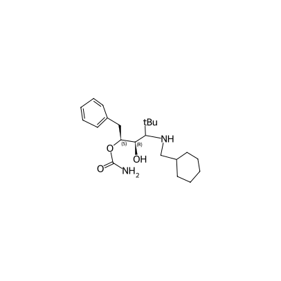 CC(C)(C)C(NCC1CCCCC1)[C@@H](O)[C@H](Cc1ccccc1)OC(N)=O